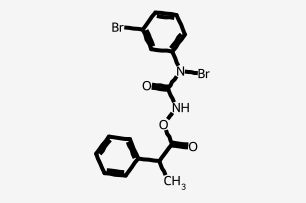 CC(C(=O)ONC(=O)N(Br)c1cccc(Br)c1)c1ccccc1